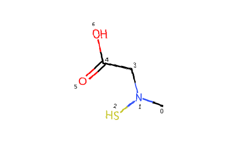 CN(S)CC(=O)O